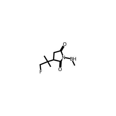 CBN1C(=O)CC(C(C)(C)CF)C1=O